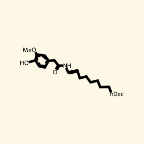 CCCCCCCCCCCCCCCCC=CNC(=O)Cc1ccc(O)c(OC)c1